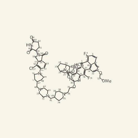 C#Cc1c(F)ccc2cc(OCOC)cc(-c3ncc4c(N5CC6CCC(C5)N6C(=O)OC(C)(C)C)nc(OCCN5CCC(CN6CCN(CC7CCN(c8ccc9c(c8Cl)CN(C8CCC(=O)NC8=O)C9=O)CC7)CC6)CC5)nc4c3F)c12